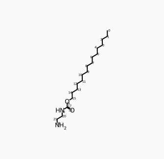 CCCCCCCCCCCCCCCCOC(=O)NCCN